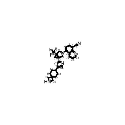 N#Cc1ccc(N2C[C@]3(c4nnc(C5CCC6(CC5)CNC6)o4)C[C@]3(C(F)(F)F)C2)c2cccnc12